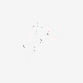 CCOC(=O)C1=Cc2cc(S)cc(C)c2OC1C(F)(F)F